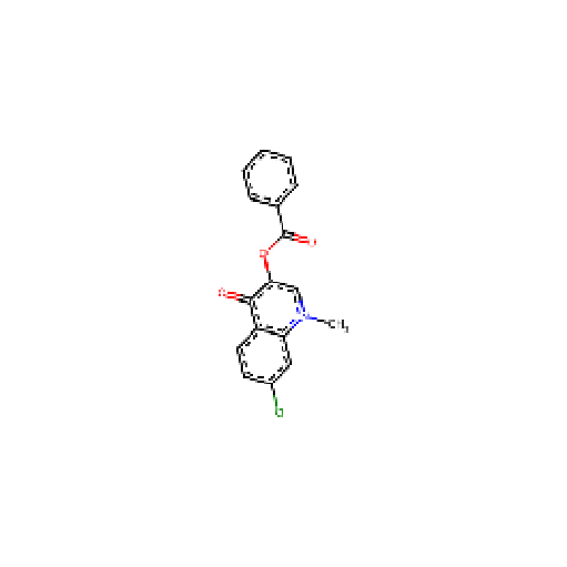 Cn1cc(OC(=O)c2ccccc2)c(=O)c2ccc(Cl)cc21